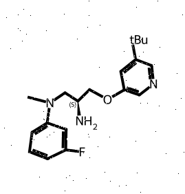 CN(C[C@H](N)COc1cncc(C(C)(C)C)c1)c1cccc(F)c1